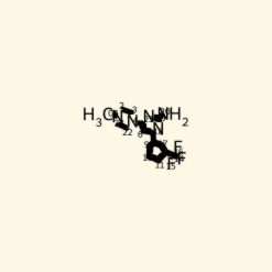 CN1CCN(c2cc(-c3cccc(C(F)(F)F)c3)nc(N)n2)CC1